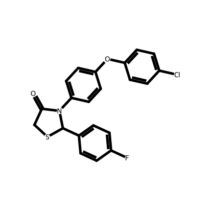 O=C1CSC(c2ccc(F)cc2)N1c1ccc(Oc2ccc(Cl)cc2)cc1